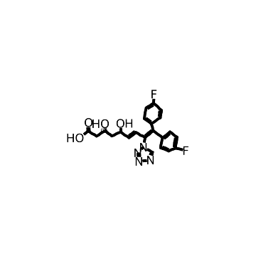 O=C(O)C[C@@H](O)CC(O)C=CC(=C(c1ccc(F)cc1)c1ccc(F)cc1)n1cnnn1